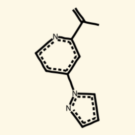 C=C(C)c1cc(-n2cccn2)ccn1